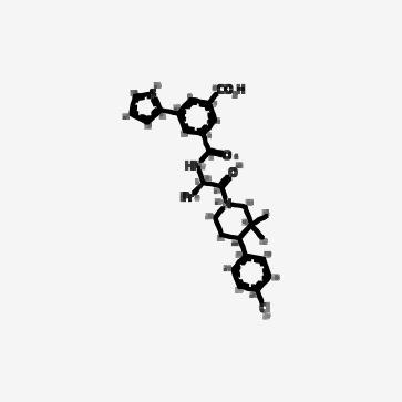 CC(C)[C@@H](NC(=O)c1cc(C(=O)O)cc(-c2cccs2)c1)C(=O)N1CCC(c2ccc(Cl)cc2)C(C)(C)C1